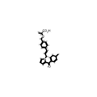 CC1C=CC(C(=O)c2cccn2C/C=C/c2ccc(CO[C@@H](C)C(=O)O)cc2)=CC1